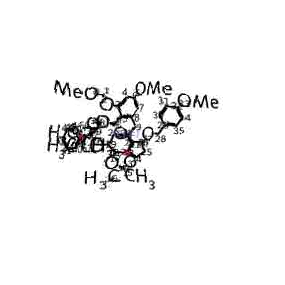 COCOc1cc(OC)cc(/C=C/CC2OC(C)(C)OC2C(/C=C\C2CCC[C@H]2OCc2ccc(OC)cc2)OC(=O)c2ccccc2)c1C(=O)OCC[Si](C)(C)C